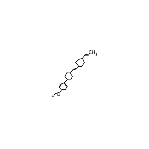 C/C=C/C1CCC(/C=C/C2CCC(c3ccc(OCF)cc3)CC2)CC1